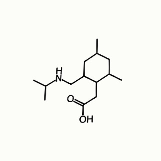 CC1CC(C)C(CC(=O)O)C(CNC(C)C)C1